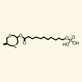 C=C1CSCC(OC(=O)CCCCCCCCCCOP(=O)(O)O)CSC1